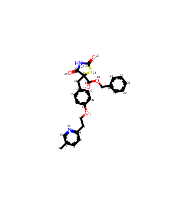 Cc1ccc(CCOc2ccc(CC3(C(=O)OCc4ccccc4)SC(=O)NC3=O)cc2)nc1